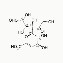 O=C[C@H](O)[C@@H](O)[C@](O)([C@H](O)CO)[C@@H]1OC(C(=O)O)=C[C@H](O)[C@H]1O